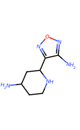 Nc1nonc1C1CC(N)CCN1